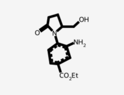 CCOC(=O)c1ccc(N2C(=O)CCC2CO)c(N)c1